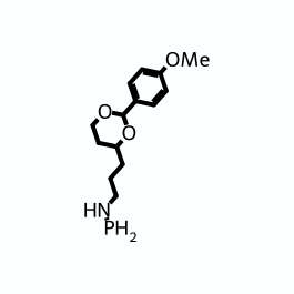 COc1ccc(C2OCCC(CCCNP)O2)cc1